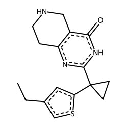 CCc1csc(C2(c3nc4c(c(=O)[nH]3)CNCC4)CC2)c1